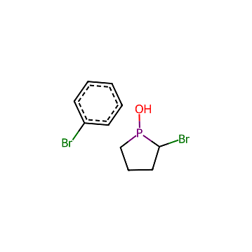 Brc1ccccc1.OP1CCCC1Br